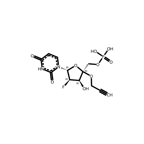 C#CCO[C@]1(COP(=O)(O)O)O[C@@H](n2ccc(=O)[nH]c2=O)[C@H](F)[C@@H]1O